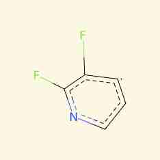 Fc1[c]ccnc1F